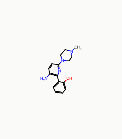 CN1CCN(c2ccc(N)c(-c3ccccc3O)n2)CC1